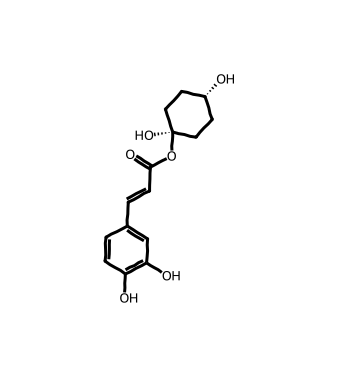 O=C(C=Cc1ccc(O)c(O)c1)O[C@]1(O)CC[C@@H](O)CC1